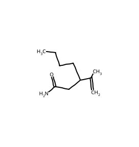 C=C(C)C(CCCC)CC(N)=O